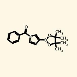 CC1(C)OB(c2ccn(C(=O)c3ccccc3)c2)OC1(C)C